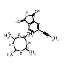 CC#Cc1ccc2c(c1)C(=O)OC2=O.CC1OC(C)OC(C)OC(C)O1